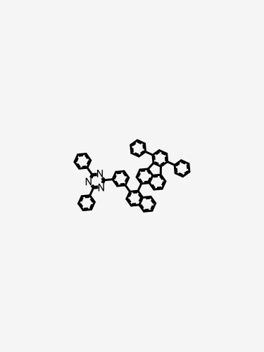 c1ccc(-c2nc(-c3ccccc3)nc(-c3cccc(-c4ccc5ccccc5c4-c4ccc5c6c(cccc46)-c4c(-c6ccccc6)ccc(-c6ccccc6)c4-5)c3)n2)cc1